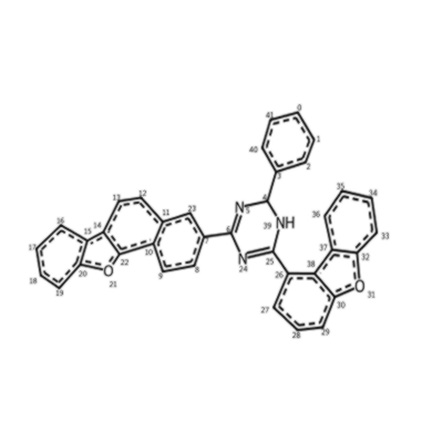 c1ccc(C2N=C(c3ccc4c(ccc5c6ccccc6oc45)c3)N=C(c3cccc4oc5ccccc5c34)N2)cc1